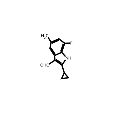 Cc1cc(F)c2[nH]c(C3CC3)c(C=O)c2c1